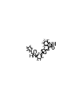 O=C(CN1CCCC1)Nc1cccc(-c2ccc(/C=C3/C(=O)Nc4ccccc43)o2)c1